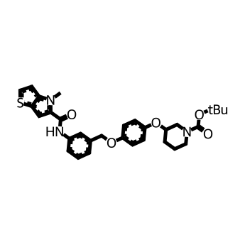 Cn1c(C(=O)Nc2cccc(COc3ccc(OC4CCCN(C(=O)OC(C)(C)C)C4)cc3)c2)cc2sccc21